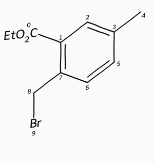 CCOC(=O)c1cc(C)ccc1CBr